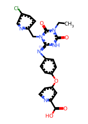 CCn1c(=O)[nH]/c(=N\c2ccc(Oc3ccnc(C(=O)O)c3)cc2)n(Cc2ccc(Cl)cn2)c1=O